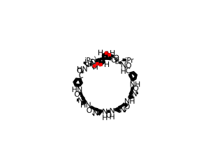 CC(C)C[C@@H]1NC(=O)Cc2cccc(c2)NC(=O)c2cc(cn2C)NC(=O)c2cc(cn2C)NC(=O)Nc2cc(n(C)c2)C(=O)Nc2cc(n(C)c2)C(=O)Nc2cccc(c2)CC(=O)N[C@@H](CC(C)C)B2O[C@@H]3C[C@H]4C(C)(C)[C@@H](C45[C@H]4C[C@H]6OB1O[C@@]6(C)[C@H]5C4(C)C)[C@]3(C)O2